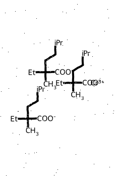 CCC(C)(CCC(C)C)C(=O)[O-].CCC(C)(CCC(C)C)C(=O)[O-].CCC(C)(CCC(C)C)C(=O)[O-].[Cr+3]